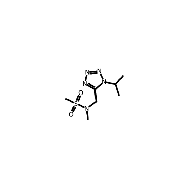 CC(C)n1nnnc1CN(C)S(C)(=O)=O